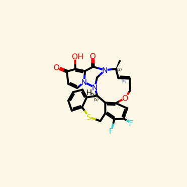 C[C@H]1/C=C/COc2cc(F)c(F)c3c2[C@@H](c2ccccc2SC3)N2CN1C(=O)c1c(O)c(=O)ccn12